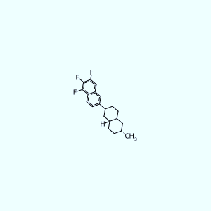 C[C@@H]1CC[C@@H]2CC(c3ccc4c(F)c(F)c(F)cc4c3)CCC2C1